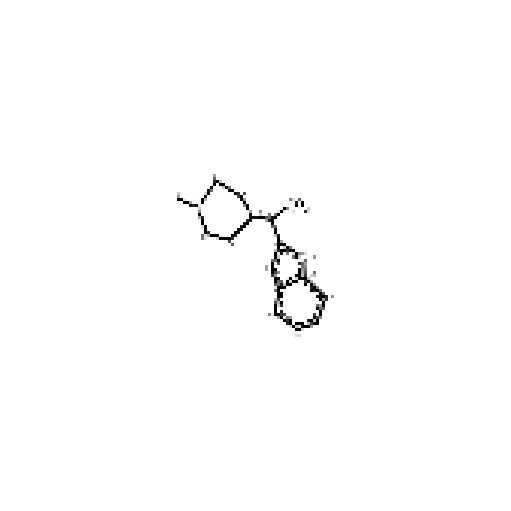 CN1CCN(C(C(=O)O)c2cc3ccccc3o2)CC1